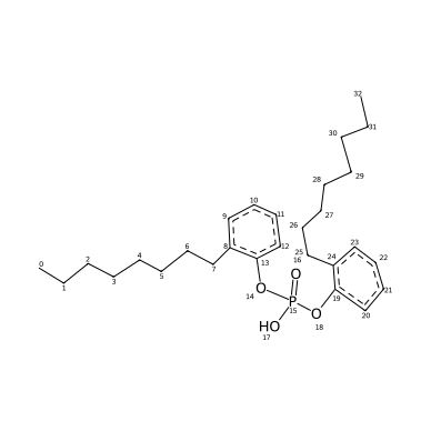 CCCCCCCCc1ccccc1OP(=O)(O)Oc1ccccc1CCCCCCCC